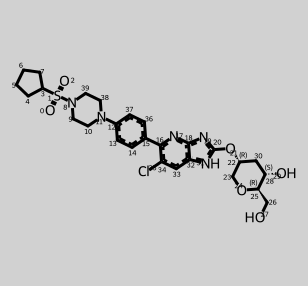 O=S(=O)(C1CCCC1)N1CCN(c2ccc(-c3nc4nc(O[C@H]5CO[C@H](CO)[C@@H](O)C5)[nH]c4cc3Cl)cc2)CC1